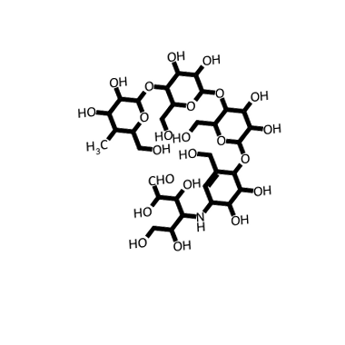 CC1C(CO)OC(OC2C(CO)OC(OC3C(CO)OC(OC4C(CO)=CC(NC(C(O)CO)C(O)C(O)C=O)C(O)C4O)C(O)C3O)C(O)C2O)C(O)C1O